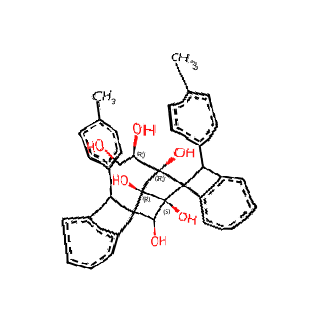 Cc1ccc(C2c3ccccc3C23C(O)[C@@]2(O)C4(c5ccccc5C4c4ccc(C)cc4)[C@@](O)([C@H](O)CO)[C@@]32O)cc1